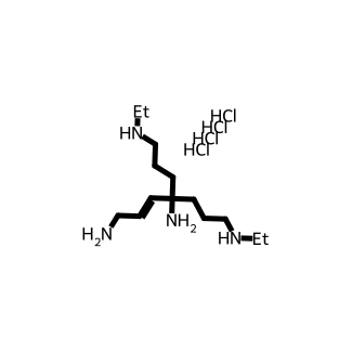 CCNCCCC(N)(C=CCN)CCCNCC.Cl.Cl.Cl.Cl